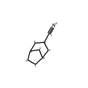 N#CC1CC2CCC(C1)C2